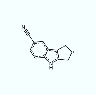 N#Cc1ccc2[nH]c3c(c2c1)C[C]C3